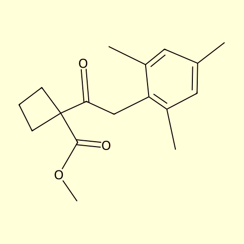 COC(=O)C1(C(=O)Cc2c(C)cc(C)cc2C)CCC1